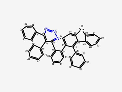 c1ccc(-c2nnnc(-c3ccccc3-c3ccc4[se]c5ccccc5c4c3-c3ccccc3)c2-c2ccccc2)cc1